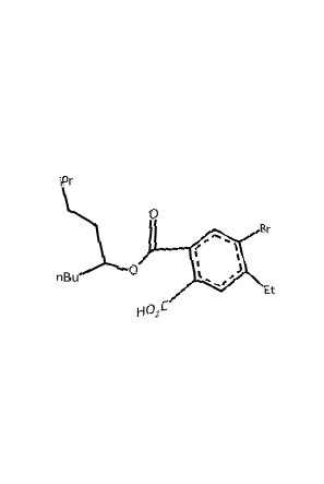 CCCCC(CCC(C)C)OC(=O)c1cc(Br)c(CC)cc1C(=O)O